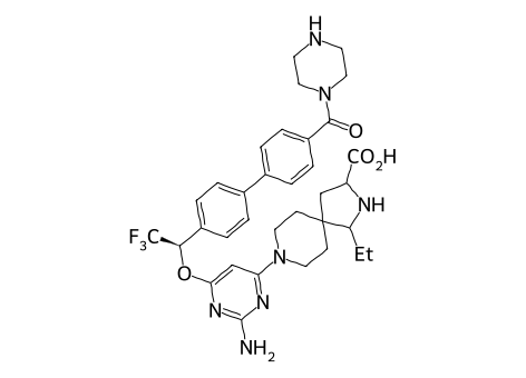 CCC1NC(C(=O)O)CC12CCN(c1cc(O[C@H](c3ccc(-c4ccc(C(=O)N5CCNCC5)cc4)cc3)C(F)(F)F)nc(N)n1)CC2